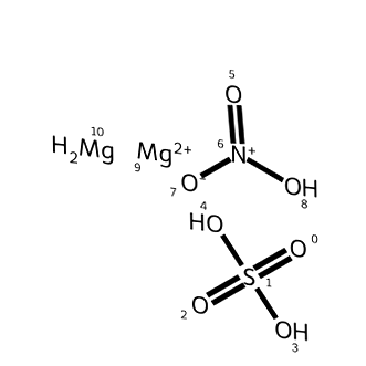 O=S(=O)(O)O.O=[N+]([O-])O.[Mg+2].[MgH2]